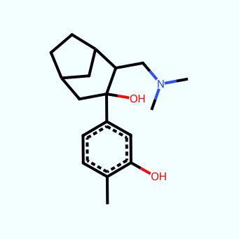 Cc1ccc(C2(O)CC3CCC(C3)C2CN(C)C)cc1O